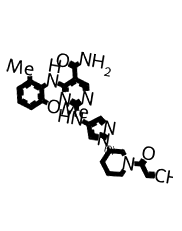 C=CC(=O)N1CCC[C@@H](n2cc(Nc3ncc(C(N)=O)c(Nc4c(OC)cccc4OC)n3)cn2)C1